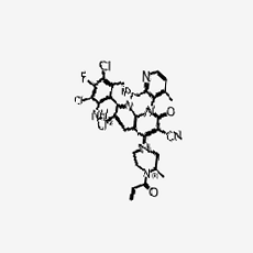 C=CC(=O)N1CCN(c2c(C#N)c(=O)n(-c3c(C)ccnc3C(C)C)c3nc(-c4c(C)c(Cl)c(F)c(Cl)c4N)c(Cl)cc23)C[C@H]1C